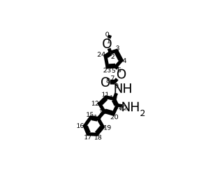 COc1ccc(OC(=O)Nc2ccc(-c3ccccc3)cc2N)cc1